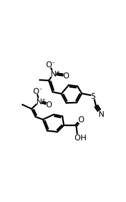 CC(=Cc1ccc(C(=O)O)cc1)[N+](=O)[O-].CC(=Cc1ccc(SC#N)cc1)[N+](=O)[O-]